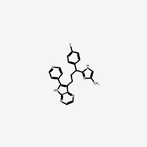 Cc1c[nH]c(C(CCc2c(-c3ccncc3)[nH]c3nccnc23)c2ccc(F)cc2)n1